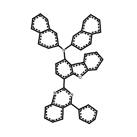 c1ccc(-c2nc(-c3ccc(N(c4ccc5ccccc5c4)c4ccc5ccccc5c4)c4c3oc3ccccc34)nc3ccccc23)cc1